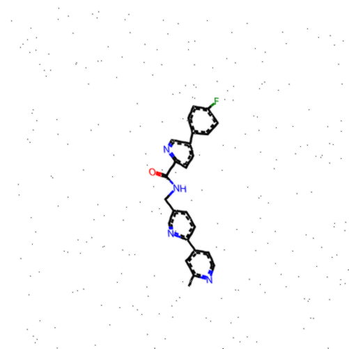 Cc1cc(-c2ccc(CNC(=O)c3ccc(-c4ccc(F)cc4)cn3)cn2)ccn1